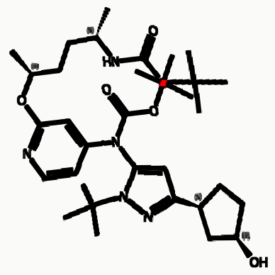 C[C@@H](CC[C@H](C)Oc1cc(N(C(=O)OC(C)(C)C)c2cc([C@H]3CC[C@@H](O)C3)nn2C(C)(C)C)ccn1)NC(=O)OC(C)(C)C